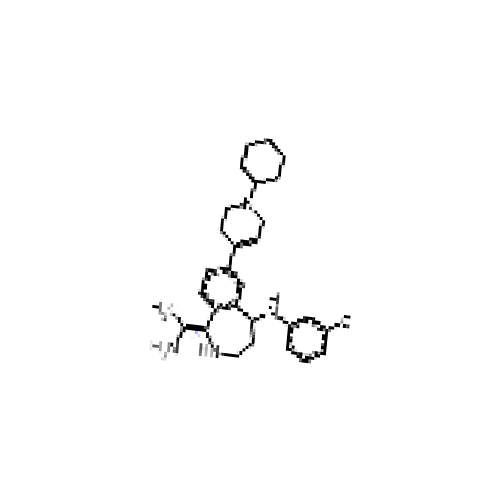 C/C(N)=C1/NCCC(Nc2cccc(Cl)c2)c2cc(C3=CCN(C4CCCCC4)CC3)ccc21